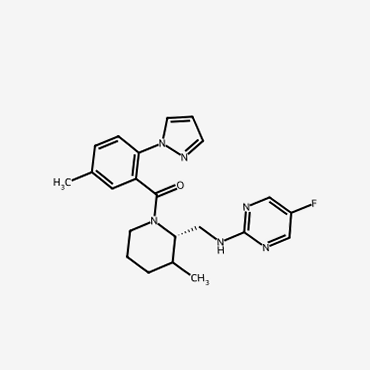 Cc1ccc(-n2cccn2)c(C(=O)N2CCCC(C)[C@H]2CNc2ncc(F)cn2)c1